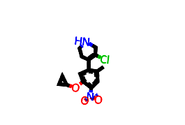 Cc1cc([N+](=O)[O-])c(OC2CC2)cc1C1=C(Cl)CNCC1